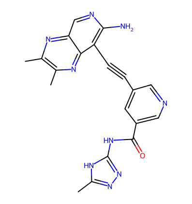 Cc1nnc(NC(=O)c2cncc(C#Cc3c(N)ncc4nc(C)c(C)nc34)c2)[nH]1